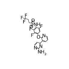 Nc1nccc(-c2cccnc2Oc2cc(F)c(NS(=O)(=O)CCC(F)(F)F)c(F)c2F)n1